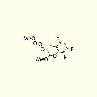 COOOOCC(OC)Oc1c(F)c(F)cc(F)c1F